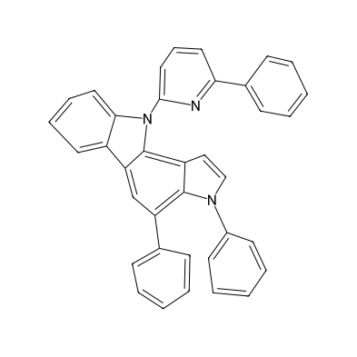 c1ccc(-c2cccc(-n3c4ccccc4c4cc(-c5ccccc5)c5c(ccn5-c5ccccc5)c43)n2)cc1